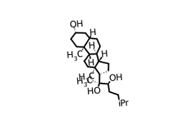 CC(C)CC[C@H](O)[C@@](C)(O)[C@H]1CC[C@H]2[C@@H]3CC[C@H]4C[C@@H](O)CC[C@]4(C)[C@H]3CC[C@]12C